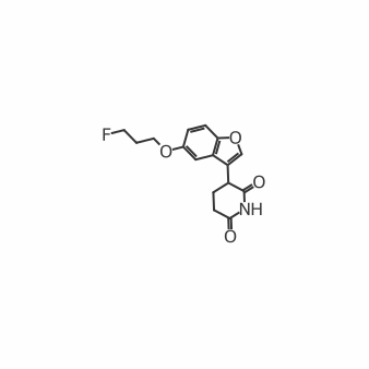 O=C1CCC(c2coc3ccc(OCCCF)cc23)C(=O)N1